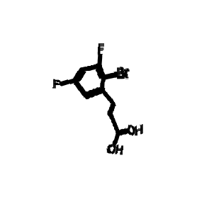 OC(O)CCc1cc(F)cc(F)c1Br